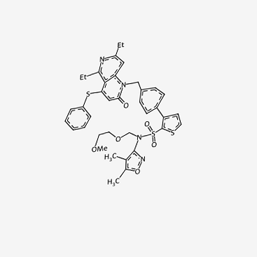 CCc1cc2c(c(Sc3ccccc3)cc(=O)n2Cc2ccc(-c3ccsc3S(=O)(=O)N(COCCOC)c3noc(C)c3C)cc2)c(CC)n1